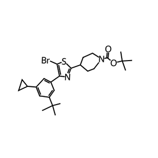 CC(C)(C)OC(=O)N1CCC(c2nc(-c3cc(C4CC4)cc(C(C)(C)C)c3)c(Br)s2)CC1